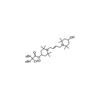 CCCCC(C=O)(CCCC)C(=O)OC1CC(C)(C)N(CC=CCN2C(C)(C)CC(O)CC2(C)C)C(C)(C)C1